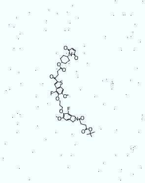 COc1cc2c(c(F)c1OCCCOc1c(OC)cc3sc(C(=O)CCC(=O)O[C@H]4CC[C@H](N5C(=O)C=CC5=O)CC4)cc3c1F)CN(C(=O)CCC(=O)OC(C)(C)C)C2